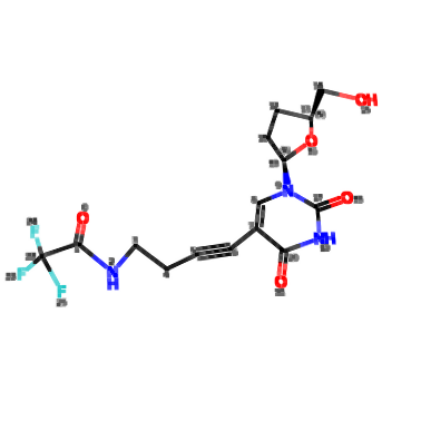 O=C(NCCC#Cc1cn([C@H]2CC[C@@H](CO)O2)c(=O)[nH]c1=O)C(F)(F)F